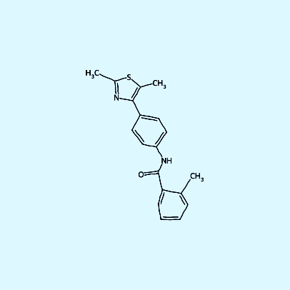 Cc1nc(-c2ccc(NC(=O)c3ccccc3C)cc2)c(C)s1